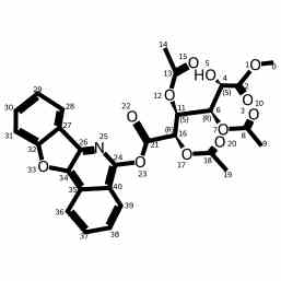 COC(=O)[C@@H](O)[C@@H](OC(C)=O)[C@H](OC(C)=O)[C@@H](OC(C)=O)C(=O)Oc1nc2c3ccccc3oc2c2ccccc12